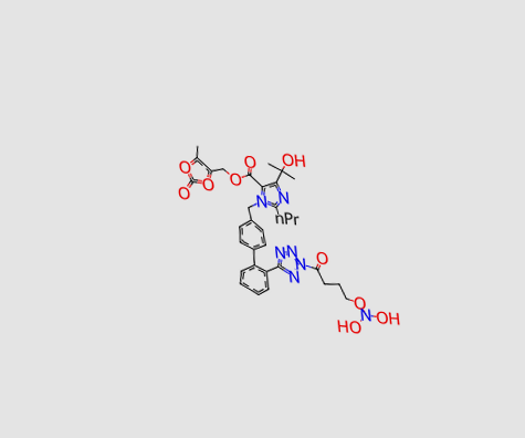 CCCc1nc(C(C)(C)O)c(C(=O)OCc2oc(=O)oc2C)n1Cc1ccc(-c2ccccc2-c2nnn(C(=O)CCCON(O)O)n2)cc1